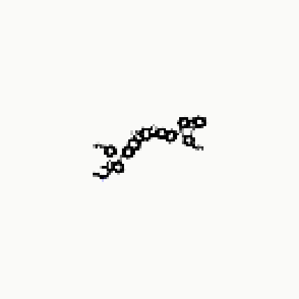 C=C/C=C\c1c(C)oc2c(N(c3ccc(C(C)C)cc3)c3ccc4cc5c(cc4c3)oc3cc4oc6cc7cc(N(c8ccc(C(C)C)cc8)c8cccc9c8oc8ccccc89)ccc7cc6c4cc35)cccc12